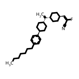 C=C([C@H]1CC[C@H](/C=C(/F)C#N)CC1)[C@H]1CC[C@H](c2ccc(CCCCCCC)cc2)CC1